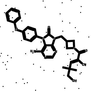 CC(C)(C=C(C#N)C(=O)N1CC(Cn2c(=O)n(-c3ccc(Oc4ccccc4)cc3)c3c(N)ncnc32)C1)CO